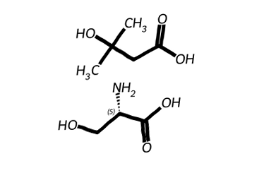 CC(C)(O)CC(=O)O.N[C@@H](CO)C(=O)O